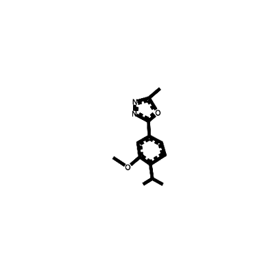 COc1cc(-c2nnc(C)o2)ccc1C(C)C